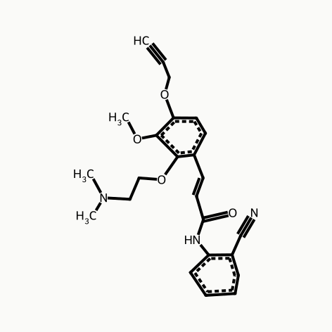 C#CCOc1ccc(/C=C/C(=O)Nc2ccccc2C#N)c(OCCN(C)C)c1OC